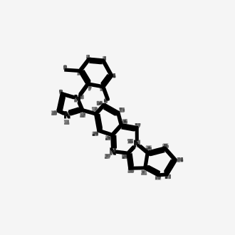 Cc1cccc(C)c1-n1ccnc1-c1ccc2cn3c(cc4ccccc43)nc2c1